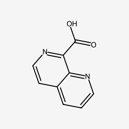 O=C(O)c1nccc2cccnc12